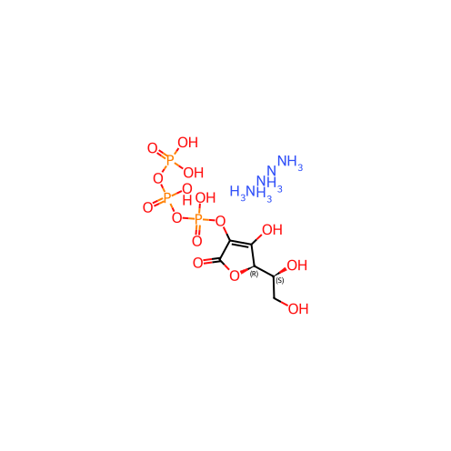 N.N.N.N.O=C1O[C@H]([C@@H](O)CO)C(O)=C1OP(=O)(O)OP(=O)(O)OP(=O)(O)O